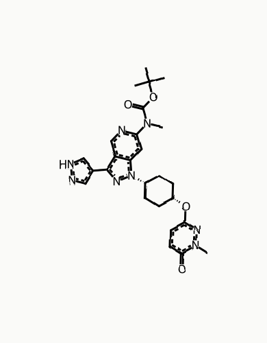 CN(C(=O)OC(C)(C)C)c1cc2c(cn1)c(-c1cn[nH]c1)nn2[C@H]1CC[C@@H](Oc2ccc(=O)n(C)n2)CC1